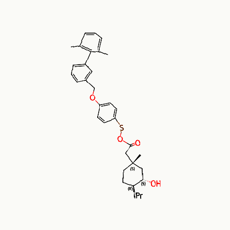 Cc1cccc(C)c1-c1cccc(COc2ccc(SOC(=O)C[C@@]3(C)CC[C@H](C(C)C)[C@@H](O)C3)cc2)c1